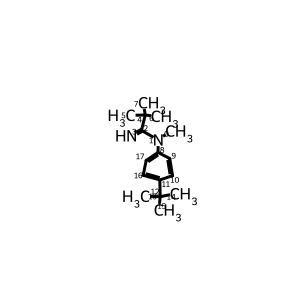 CN(C(=N)C(C)(C)C)c1ccc(C(C)(C)C)cc1